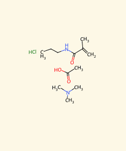 C=C(C)C(=O)NCCC.CC(=O)O.CN(C)C.Cl